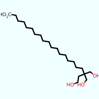 O=C(O)CCCCCCCCCCCCCCCCCC(CO)(CO)CCO